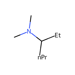 CCCC(CC)N(C)C